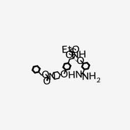 CCS(=O)(=O)N[C@H](COc1cccc(C(=N)N)c1)Cc1ccc(OC2CCN(C(=O)OCc3ccccc3)CC2)cc1